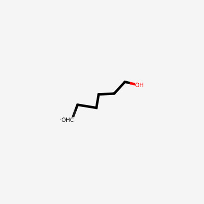 O=[C]CCCCCO